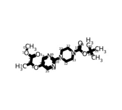 COC(=O)C(C)Oc1cnc(N2CCN(C(=O)OC(C)(C)C)CC2)nc1